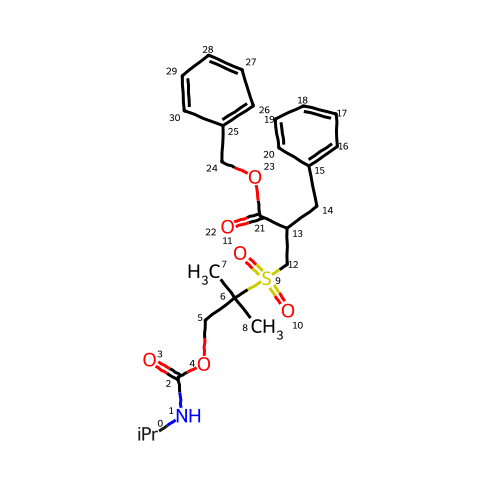 CC(C)NC(=O)OCC(C)(C)S(=O)(=O)CC(Cc1ccccc1)C(=O)OCc1ccccc1